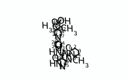 CC1CCCC(C)N1c1nc(Nc2ccc(N3CCC(C)(C(C)C(=O)O)CC3)cc2)c2c(=O)[nH]ncc2n1